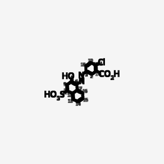 O=C(O)c1cc(/N=N/c2c(O)cc(S(=O)(=O)O)c3ccccc23)ccc1Cl